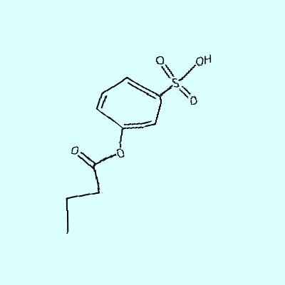 CC[CH]C(=O)Oc1cccc(S(=O)(=O)O)c1